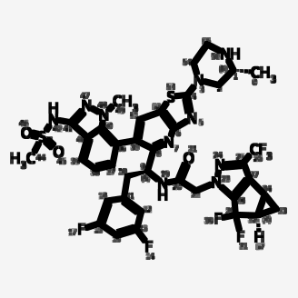 C[C@@H]1CN(c2nc3nc([C@H](Cc4cc(F)cc(F)c4)NC(=O)Cn4nc(C(F)(F)F)c5c4C(F)(F)[C@@H]4CC54)c(-c4cccc5c(NS(C)(=O)=O)nn(C)c45)cc3s2)CCN1